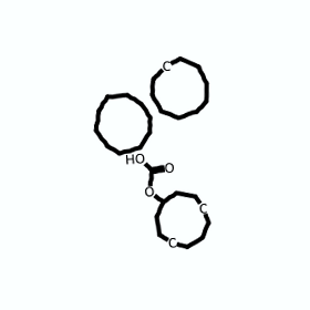 C1CCCCCCCCC1.C1CCCCCCCCC1.O=C(O)OC1CCCCCCCCC1